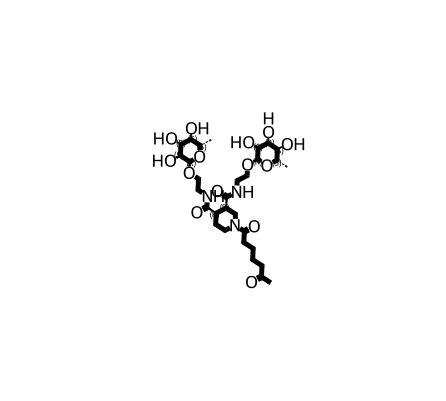 CC(=O)CCCCC(=O)N1CC[C@@H](C(=O)NCCO[C@@H]2O[C@@H](C)[C@@H](O)[C@@H](O)[C@@H]2O)[C@@H](C(=O)NCCO[C@@H]2O[C@@H](C)[C@@H](O)[C@@H](O)[C@@H]2O)C1